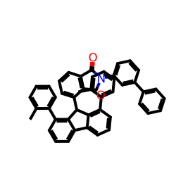 Cc1ccccc1-c1cccc2c1C(c1cccc3c1C(=O)N(c1cccc(-c4ccccc4)c1)C3=O)c1c(-c3ccccc3C)cccc1-2